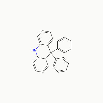 C1=CC2Nc3ccccc3C(C3=CCCC=C3)(c3ccccc3)C2C=C1